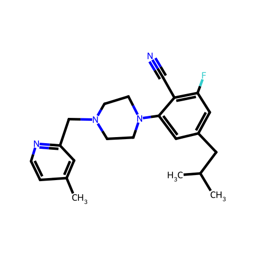 Cc1ccnc(CN2CCN(c3cc(CC(C)C)cc(F)c3C#N)CC2)c1